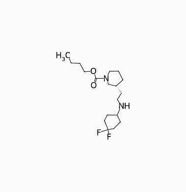 CCCCOC(=O)N1CCC[C@H](CCNC2CCC(F)(F)CC2)C1